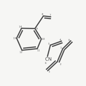 C=C=C=C.C=CC#N.C=Cc1ccccc1